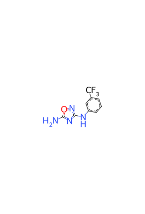 Nc1nc(Nc2cccc(C(F)(F)F)c2)no1